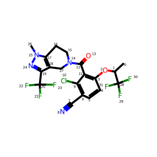 CC(Oc1ccc(C#N)c(Cl)c1C(=O)N1CCc2c(c(C(F)(F)F)nn2C)C1)C(F)(F)F